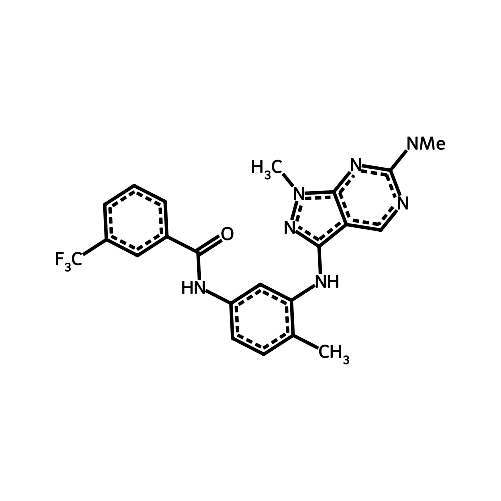 CNc1ncc2c(Nc3cc(NC(=O)c4cccc(C(F)(F)F)c4)ccc3C)nn(C)c2n1